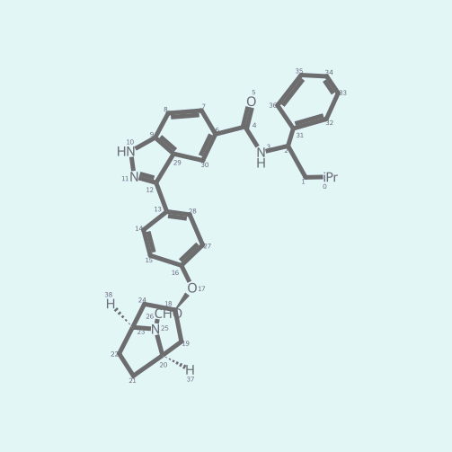 CC(C)CC(NC(=O)c1ccc2[nH]nc(-c3ccc(O[C@H]4C[C@H]5CC[C@@H](C4)N5C=O)cc3)c2c1)c1ccccc1